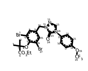 CCOC(=O)C(C)(C)Oc1c(Br)cc(Cn2ncn(-c3ccc(OC(F)(F)F)cc3)c2=O)cc1Br